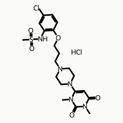 Cl.Cn1c(N2CCN(CCCOc3ccc(Cl)cc3NS(C)(=O)=O)CC2)cc(=O)n(C)c1=O